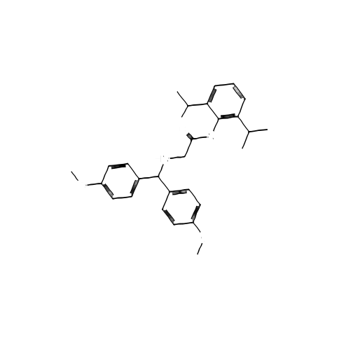 COc1ccc(C(NCC(=O)Nc2c(C(C)C)cccc2C(C)C)c2ccc(OC)cc2)cc1